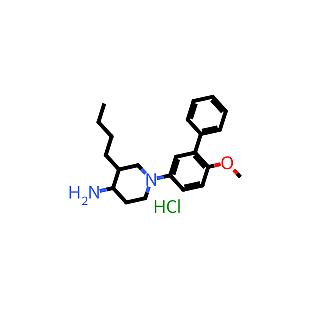 CCCCC1CN(c2ccc(OC)c(-c3ccccc3)c2)CCC1N.Cl